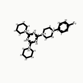 Fc1ccc(N2CCN(c3nc(N4CCCCC4)nc(N4CCCCC4)n3)CC2)cc1